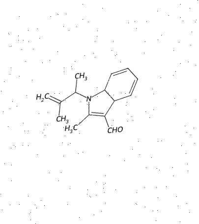 C=C(C)C(C)N1C(C)=C(C=O)C2C=CC=CC21